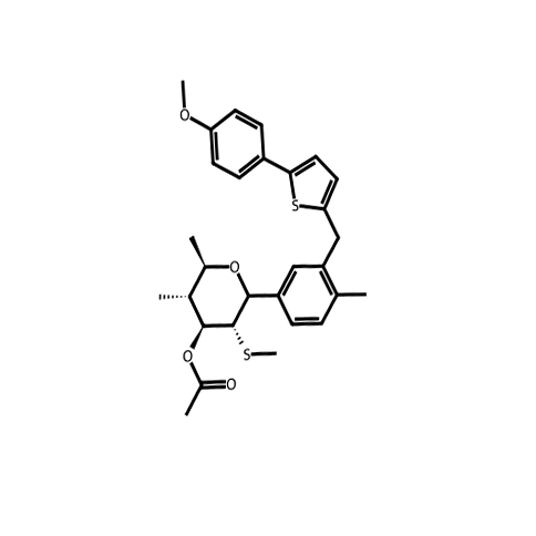 COc1ccc(-c2ccc(Cc3cc(C4O[C@H](C)[C@@H](C)[C@H](OC(C)=O)[C@H]4SC)ccc3C)s2)cc1